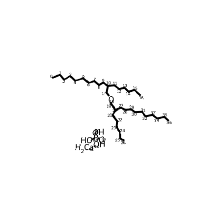 CCCCCCCCCCC(CCCCCC)COCC(CCCCCC)CCCCCCCCCC.O=P(O)(O)O.[CaH2]